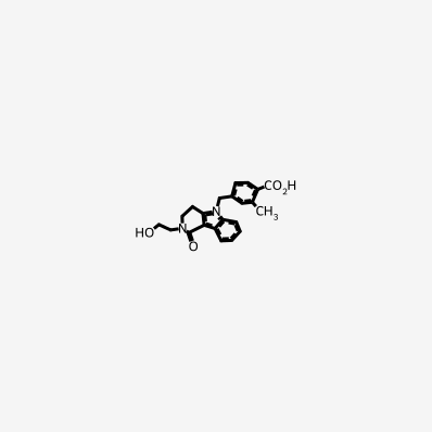 Cc1cc(Cn2c3c(c4ccccc42)C(=O)N(CCO)CC3)ccc1C(=O)O